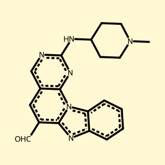 CN1CCC(Nc2ncc3cc(C=O)c4nc5ccccc5n4c3n2)CC1